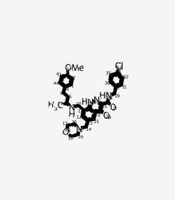 COc1ccc(CCC(C)NCc2cc(CN3CCOCC3)cc3c(=O)c(C(=O)NCc4ccc(Cl)cc4)n[nH]c23)cc1